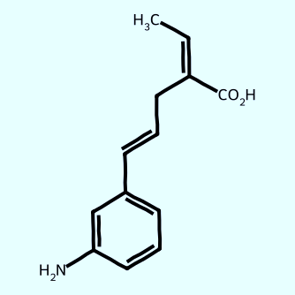 C/C=C(\CC=Cc1cccc(N)c1)C(=O)O